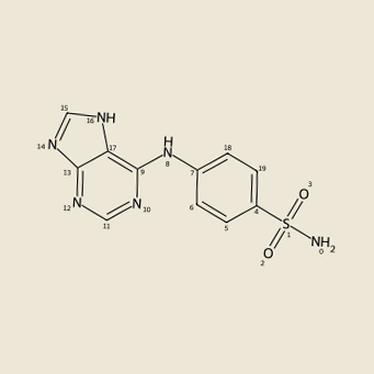 NS(=O)(=O)c1ccc(Nc2ncnc3nc[nH]c23)cc1